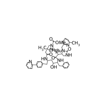 COC(=O)NCC(C)(C)CC(=O)NC(Cc1ccc(-c2ccccn2)cc1)CC(O)C(Cc1ccccc1)NC(=O)C(C1CNC(=O)N1Cc1cccc(C)n1)C(C)(C)C